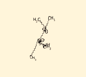 CCCCCCCCCCCCCCN(CCCCCCCC(=O)OCC(CCCCCCC)CCCCCCC)C(=O)SCCNC